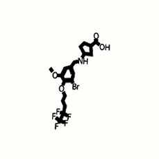 COc1cc(CNC2CCC(C(=O)O)C2)cc(Br)c1OCCCC(F)(F)C(F)(F)F